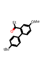 CCC(=O)c1cc(OC)ccc1-c1ccc(C(C)(C)C)cc1